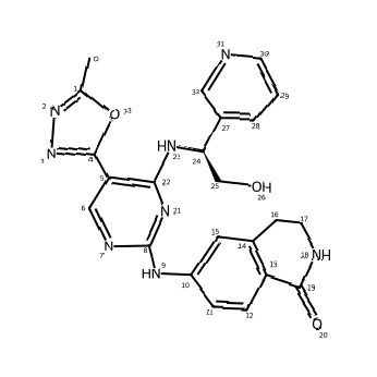 Cc1nnc(-c2cnc(Nc3ccc4c(c3)CCNC4=O)nc2N[C@H](CO)c2cccnc2)o1